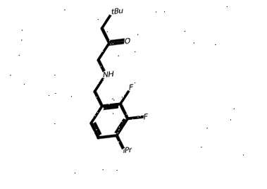 CC(C)c1ccc(CNCC(=O)CC(C)(C)C)c(F)c1F